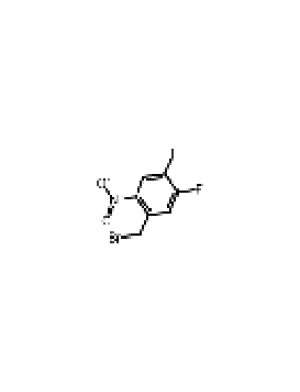 O=[N+]([O-])c1cc(I)c(F)cc1CBr